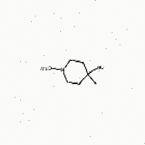 CON1CCC(C)(N=O)CC1